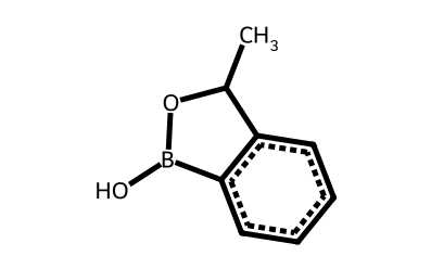 CC1OB(O)c2ccccc21